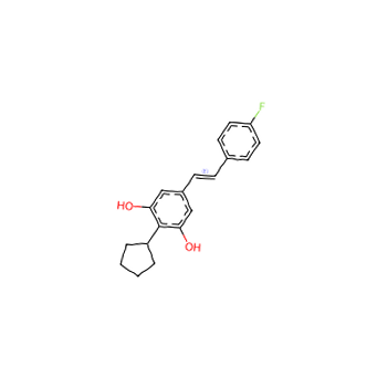 Oc1cc(/C=C/c2ccc(F)cc2)cc(O)c1C1CCCC1